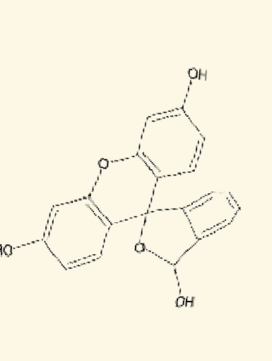 Oc1ccc2c(c1)Oc1cc(O)ccc1C21OC(O)c2ccccc21